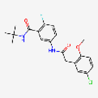 COc1ccc(Cl)cc1CC(=O)Nc1ccc(F)c(C(=O)NC(C)(C)C)c1